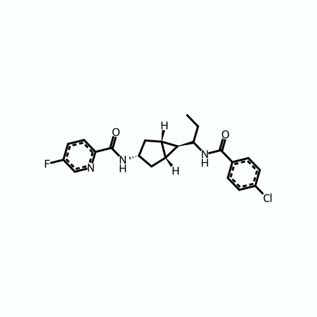 CCC(NC(=O)c1ccc(Cl)cc1)[C@H]1[C@@H]2C[C@H](NC(=O)c3ccc(F)cn3)C[C@@H]21